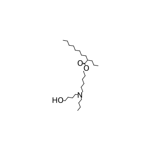 CCCCCCCCC(CCC)C(=O)OCCCCCCN(CCCC)CCCCO